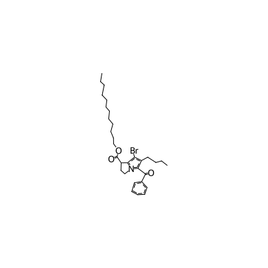 CCCCCCCCCCCCOC(=O)C1CCn2c(C(=O)c3ccccc3)c(CCCC)c(Br)c21